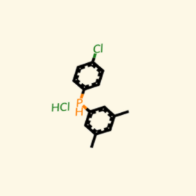 Cc1cc(C)cc(Pc2ccc(Cl)cc2)c1.Cl